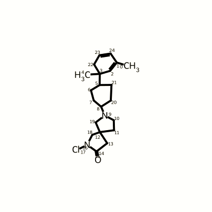 CC1=CC(C)(C2CCC(N3CCC4(CC(=O)N(Cl)C4)C3)CC2)CC=C1